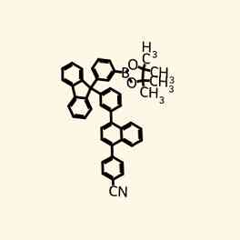 CC1(C)OB(c2cccc(C3(c4cccc(-c5ccc(-c6ccc(C#N)cc6)c6ccccc56)c4)c4ccccc4-c4ccccc43)c2)OC1(C)C